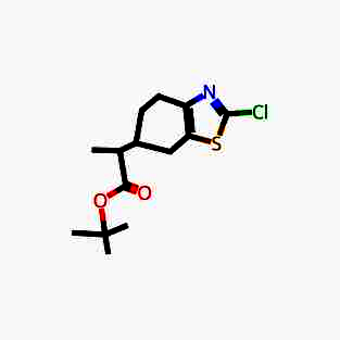 CC(C(=O)OC(C)(C)C)C1CCc2nc(Cl)sc2C1